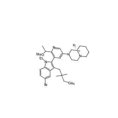 CCn1c(-c2cc(N3CCN4CCCC[C@@H]4C3)cnc2C(C)OC)c(CC(C)(C)COC(C)=O)c2cc(Br)ccc21